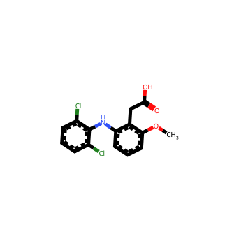 COc1cccc(Nc2c(Cl)cccc2Cl)c1CC(=O)O